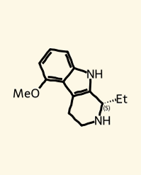 CC[C@@H]1NCCc2c1[nH]c1cccc(OC)c21